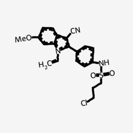 C=Cn1c(-c2ccc(NS(=O)(=O)CCCCl)cc2)c(C#N)c2ccc(OC)cc21